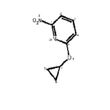 O=[N+]([O-])c1cccc(OC2CC2)n1